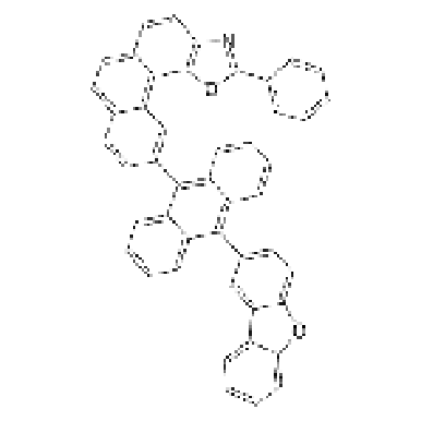 c1ccc(-c2nc3ccc4ccc5ccc(-c6c7ccccc7c(-c7ccc8oc9ccccc9c8c7)c7ccccc67)cc5c4c3o2)cc1